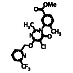 COC(=O)c1ccc(C)c(-n2c(C)nc(OCc3cccc(C(F)(F)F)n3)c(Cl)c2=O)c1